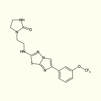 O=C1NCCN1CCNc1nn2cc(-c3cccc(OC(F)(F)F)c3)nc2s1